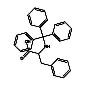 O=C(O)C(Cc1ccccc1)NC(c1ccccc1)(c1ccccc1)c1ccccc1